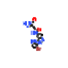 COCCC(C)(N)C#CC(=O)Nc1ccc2ncnc(Nc3cccc(Br)c3)c2c1